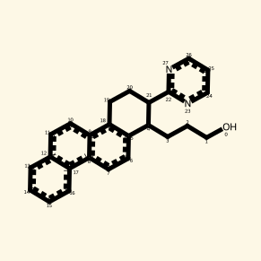 OCCCC1c2ccc3c(ccc4ccccc43)c2CCC1c1ncccn1